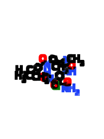 Cc1c(NC(=O)c2ccc(C(C)(C)C)cc2)cccc1-c1cc(Nc2ccc(C(=O)N3CCOCC3)c(C(Cl)C(N)=O)c2)c(=O)n(C)c1